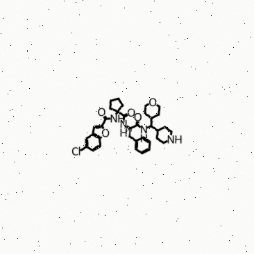 O=C(NC1(C(=O)N[C@H](Cc2ccccc2)C(=O)NC(C2CCNCC2)C2CCOCC2)CCCC1)c1cc2cc(Cl)ccc2o1